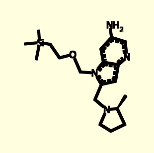 C[C@H]1CCCN1Cc1cc2ncc(N)cc2n1COCC[Si](C)(C)C